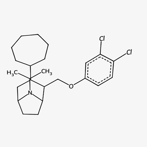 CC(C)N1C2CCC1C(COc1ccc(Cl)c(Cl)c1)C(C1CCCCCC1)C2